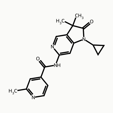 Cc1cc(C(=O)Nc2cc3c(cn2)C(C)(C)C(=O)N3C2CC2)ccn1